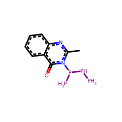 Cc1nc2ccccc2c(=O)n1P(P)PP